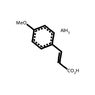 COc1ccc(C=CC(=O)O)cc1.[AlH3]